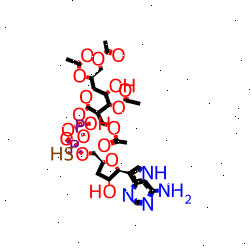 CC(=O)OCC1C(OP(=O)(O)OP(=O)(S)OC[C@@H]2C[C@@H](O)[C@H](c3c[nH]c4c(N)ncnc34)O2)OC([C@H](COC(C)=O)OC(C)=O)C(O)C1OC(C)=O